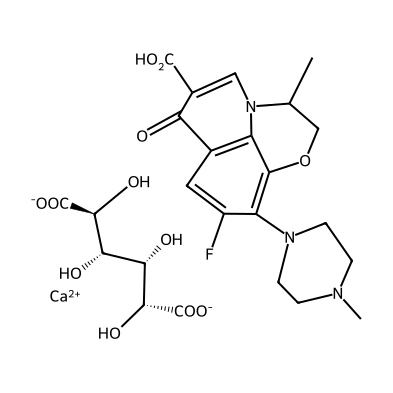 CC1COc2c(N3CCN(C)CC3)c(F)cc3c(=O)c(C(=O)O)cn1c23.O=C([O-])[C@@H](O)[C@@H](O)[C@H](O)[C@@H](O)C(=O)[O-].[Ca+2]